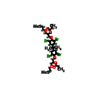 C=CC(=O)OC(COCCSC)COc1c(Br)cc(C(C)(C)c2cc(Br)c(OCC(COCCSC)OC(=O)C=C)c(Br)c2)cc1Br